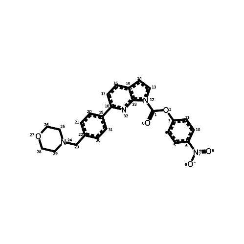 O=C(Oc1ccc([N+](=O)[O-])cc1)n1ccc2ccc(-c3ccc(CN4CCOCC4)cc3)nc21